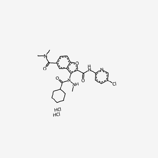 CNN(C(=O)C1CCCCC1)c1c(C(=O)Nc2ccc(Cl)cn2)oc2ccc(C(=O)N(C)C)cc12.Cl.Cl